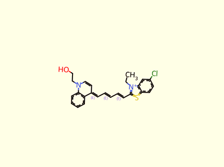 CC[n+]1c(/C=C/C=C/C=C2\C=CN(CCO)c3ccccc32)sc2ccc(Cl)cc21